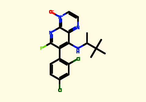 CC(Nc1c(-c2ccc(Cl)cc2Cl)c(F)nc2c1ncc[n+]2[O-])C(C)(C)C